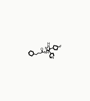 O=C(CCCc1ccccc1)Nc1n[nH]c(-c2ccc(F)cc2)c1-c1ccncc1